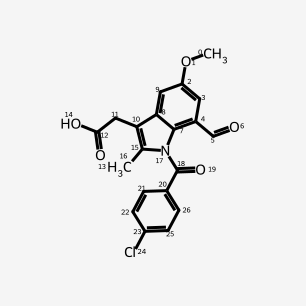 COc1cc(C=O)c2c(c1)c(CC(=O)O)c(C)n2C(=O)c1ccc(Cl)cc1